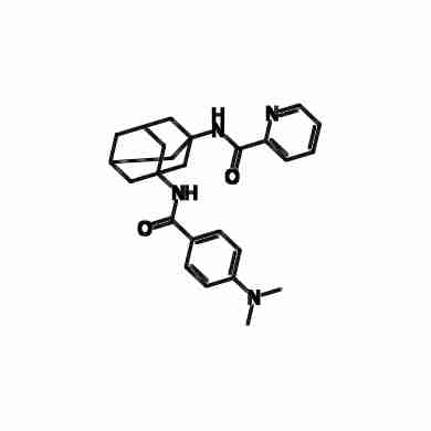 CN(C)c1ccc(C(=O)NC23CC4CC(C2)CC(NC(=O)c2ccccn2)(C4)C3)cc1